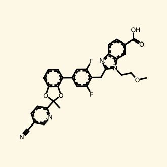 COCCn1c(Cc2c(F)cc(-c3cccc4c3OC(C)(c3ccc(C#N)cn3)O4)cc2F)nc2ccc(C(=O)O)cc21